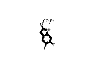 CCOC(=O)Oc1cc2cc(F)c(F)cc2[nH]1